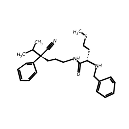 CSCC[C@H](NCc1ccccc1)C(=O)NCCC[C@@](C#N)(c1ccccc1)C(C)C